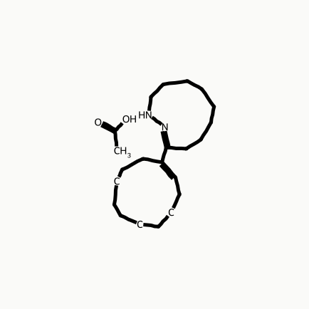 C1=C(/C2=N\NCCCCCCCC2)CCCCCCCCC/1.CC(=O)O